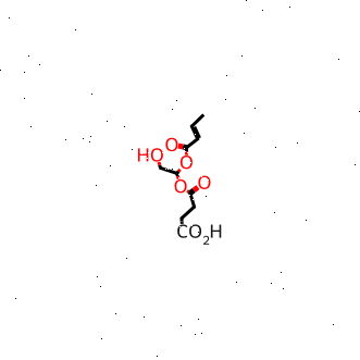 CC=CC(=O)OC(CO)OC(=O)CCC(=O)O